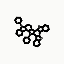 c1ccc(-n2c3ccccc3c3c2ccc2c4c5oc6ccccc6c5c5oc6ccccc6c5c4n(-c4ccccc4)c23)cc1